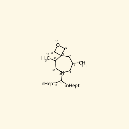 CCCCCCCC(CCCCCCC)N1CC(C)CC2(COC2)C(C)C1